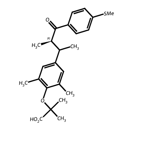 CSc1ccc(C(=O)[C@H](C)C(C)c2cc(C)c(OC(C)(C)C(=O)O)c(C)c2)cc1